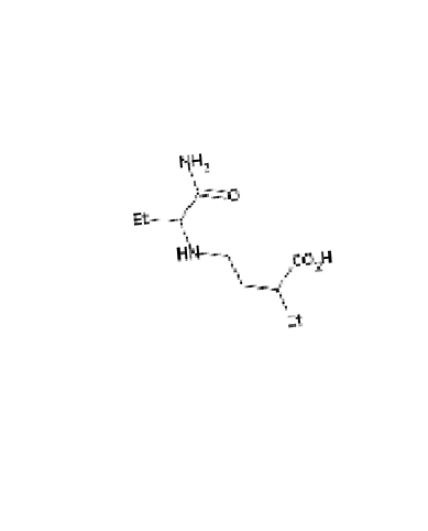 CCC(CCNC(CC)C(N)=O)C(=O)O